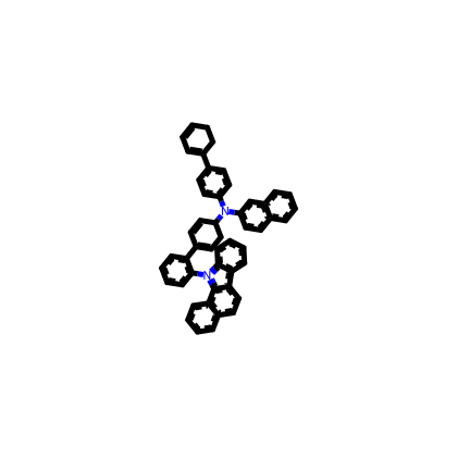 C1=CCCC(c2ccc(N(c3ccc4ccccc4c3)C3C=CC(c4ccccc4-n4c5ccccc5c5ccc6ccccc6c54)=CC3)cc2)=C1